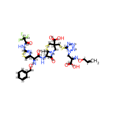 C=CCON=C(Cn1nnnc1SCC1(C(=O)O)CS[C@@H]2C(NC(=O)C(=NOCc3ccccc3)c3csc(NC(=O)C(F)(F)F)n3)C(=O)N2C1)C(=O)O